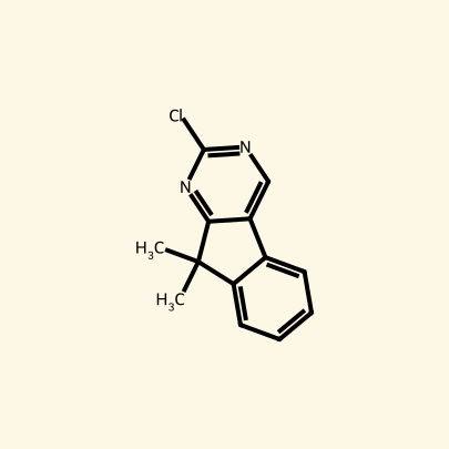 CC1(C)c2ccccc2-c2cnc(Cl)nc21